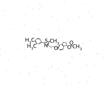 CC(=O)OC1CCc2cc(OCCc3nc(-c4ccc(C)c(C)c4)sc3C)ccc21